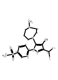 CN1CCCN(c2c(C#N)c(C(F)F)nn2-c2ccc(S(C)(=O)=O)cn2)CC1